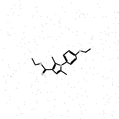 CCOC(=O)c1cc(C)n(-c2ccc(OCC)cc2)c1C